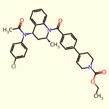 CCOC(=O)N1CC=C(c2ccc(C(=O)N3c4ccccc4[C@H](N(C(C)=O)c4ccc(Cl)cc4)C[C@@H]3C)cc2)CC1